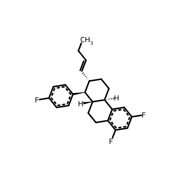 CC/C=C/[C@@H]1CC[C@H]2c3cc(F)cc(F)c3CC[C@@H]2[C@H]1c1ccc(F)cc1